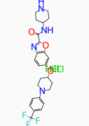 Cl.Cl.O=C(NC1CCNCC1)c1nc2ccc(OC3CCN(c4ccc(C(F)(F)F)cc4)CC3)cc2o1